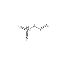 C=CC[SH](=O)=S